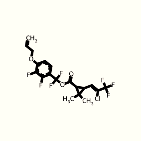 C=CCOc1ccc(C(F)(F)OC(=O)C2C(C=C(Cl)C(F)(F)F)C2(C)C)c(F)c1F